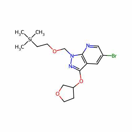 C[Si](C)(C)CCOCn1nc(OC2CCOC2)c2cc(Br)cnc21